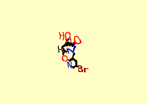 O=C1[C@@H](O)C[C@H]2COc3ncc(Br)cc3CN12